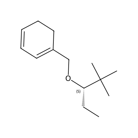 CC[C@H](OCC1=CC=CCC1)C(C)(C)C